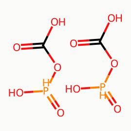 O=C(O)O[PH](=O)O.O=C(O)O[PH](=O)O